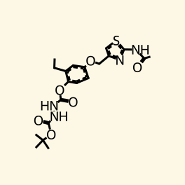 CCc1cc(OCc2csc(NC(C)=O)n2)ccc1OC(=O)NNC(=O)OC(C)(C)C